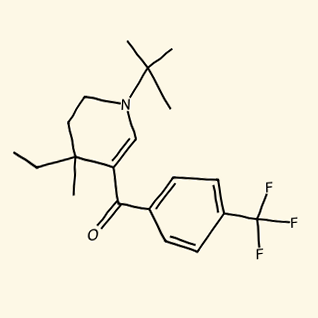 CCC1(C)CCN(C(C)(C)C)C=C1C(=O)c1ccc(C(F)(F)F)cc1